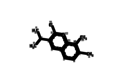 Cc1ccc2cc(C(C)C)c(Cl)nc2c1C